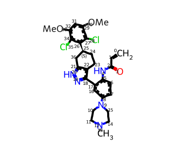 C=CC(=O)Nc1ccc(N2CCN(C)CC2)cc1-c1n[nH]c2c1CC[C@H](c1c(Cl)c(OC)cc(OC)c1Cl)C2